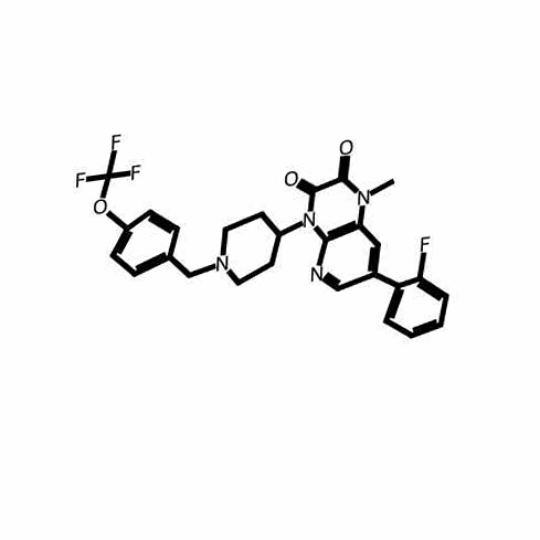 Cn1c(=O)c(=O)n(C2CCN(Cc3ccc(OC(F)(F)F)cc3)CC2)c2ncc(-c3ccccc3F)cc21